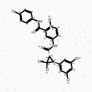 O=C(Nc1ccc(F)cc1)c1cc(NC(=O)[C@@H]2[C@@H](c3cc(Cl)cc(Cl)c3)C2(Cl)Cl)cc[n+]1[O-]